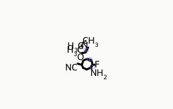 CC(/C=C\N(C)C)OC1/C=C\C(F)=C(\N)CCC1CC#N